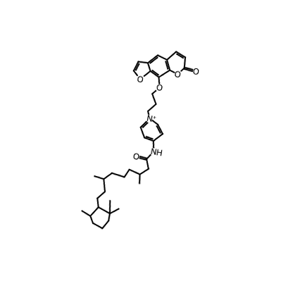 CC(CCCC(C)CC(=O)Nc1cc[n+](CCCOc2c3occc3cc3ccc(=O)oc23)cc1)CCC1C(C)CCCC1(C)C